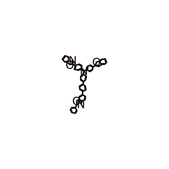 c1ccc(-c2nc3ccc(-c4ccc(-c5ccc(N(c6ccc(-c7cc8ccccc8o7)cc6)c6ccc(-c7nc8ccccc8o7)cc6)cc5)cc4)cc3o2)cc1